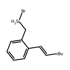 CCCCC=Cc1ccccc1C[SiH2]Br